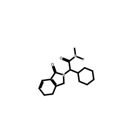 CN(F)C(=O)C(C1CCCCC1)N1CC2=C(C=CCC2)C1=O